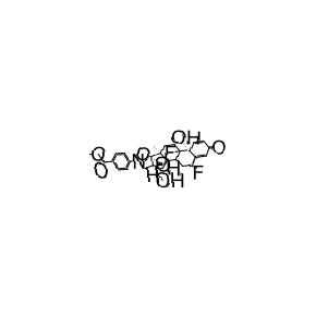 COC(=O)c1ccc(N2C[C@@H]3CC4[C@@H]5C[C@H](F)C6=CC(=O)C=C[C@]6(C)[C@@]5(F)[C@@H](O)C[C@]4(C)[C@]3(C(=O)CO)O2)cc1